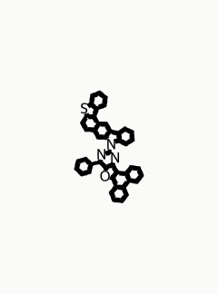 c1ccc(-c2nc(-n3c4ccccc4c4cc5c(ccc6sc7ccccc7c65)cc43)nc3c2oc2c4ccccc4c4ccccc4c32)cc1